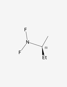 CC[C@H](C)N(F)F